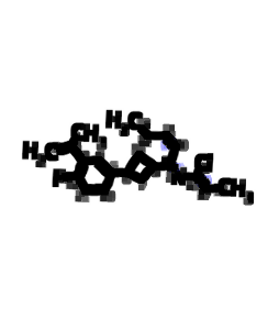 C=C(C)c1cc(C2CC(C(/C=C\CC)=N/C(Cl)=C/C)C2)ccc1F